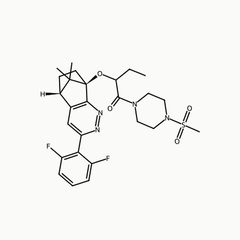 CCC(O[C@@]12CC[C@@H](c3cc(-c4c(F)cccc4F)nnc31)C2(C)C)C(=O)N1CCN(S(C)(=O)=O)CC1